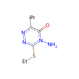 CCSc1nnc(C(C)C)c(=O)n1N